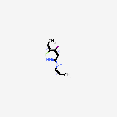 C/C=C\NC(=N)/C=C(I)\C(F)=C/C